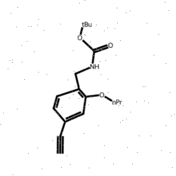 C#Cc1ccc(CNC(=O)OC(C)(C)C)c(OCCC)c1